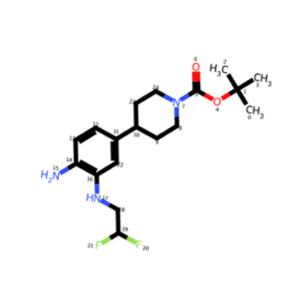 CC(C)(C)OC(=O)N1CCC(c2ccc(N)c(NCC(F)F)c2)CC1